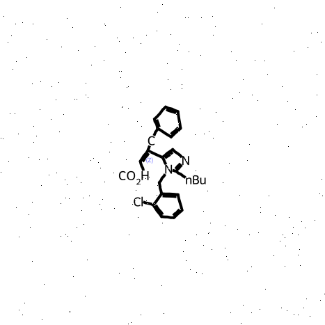 CCCCc1ncc(/C(=C\C(=O)O)Cc2ccccc2)n1Cc1ccccc1Cl